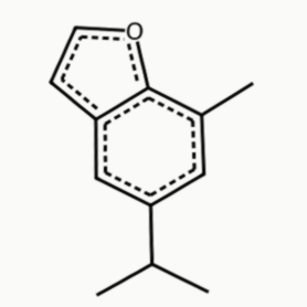 Cc1cc(C(C)C)cc2ccoc12